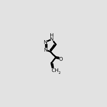 C=CC(=O)c1c[nH]nn1